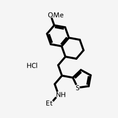 CCNCC(CC1CCCc2cc(OC)ccc21)c1cccs1.Cl